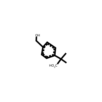 CC(C)(C(=O)O)c1ccc(CO)cc1